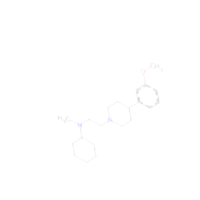 COc1cccc(C2CCN(CCN(C)C3CCCCC3)CC2)c1